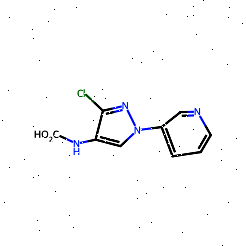 O=C(O)Nc1cn(-c2cccnc2)nc1Cl